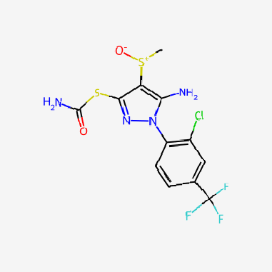 C[S+]([O-])c1c(SC(N)=O)nn(-c2ccc(C(F)(F)F)cc2Cl)c1N